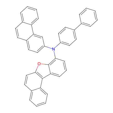 c1ccc(-c2ccc(N(c3ccc4ccc5ccccc5c4c3)c3cccc4c3oc3ccc5ccccc5c34)cc2)cc1